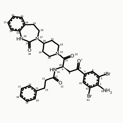 Nc1c(Br)cc(C(=O)C[C@@H](NC(=O)CCc2ccccc2)C(=O)N2CCC(N3CCc4ccccc4NC3=O)CC2)cc1Br